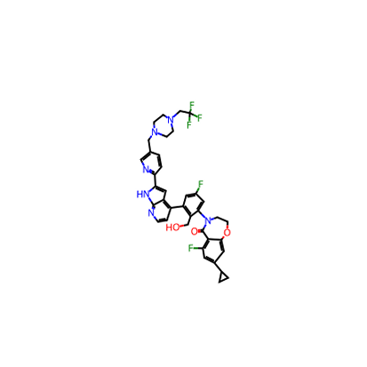 O=C1c2c(F)cc(C3CC3)cc2OCCN1c1cc(F)cc(-c2ccnc3[nH]c(-c4ccc(CN5CCN(CC(F)(F)F)CC5)cn4)cc23)c1CO